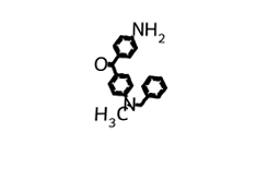 CN(Cc1ccccc1)c1ccc(C(=O)c2ccc(N)cc2)cc1